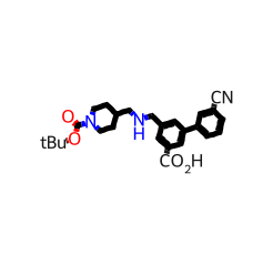 CC(C)(C)OC(=O)N1CCC(CNCc2cc(C(=O)O)cc(-c3cccc(C#N)c3)c2)CC1